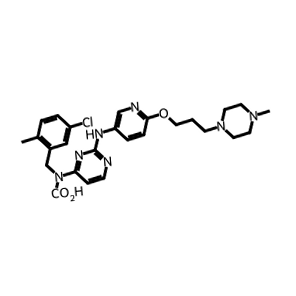 Cc1ccc(Cl)cc1CN(C(=O)O)c1ccnc(Nc2ccc(OCCCN3CCN(C)CC3)nc2)n1